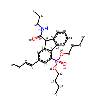 CCC=Cc1cc2c(c(P(=O)(OCCCC)OCCCC)c1)-c1ccccc1C2C(=O)NCCC